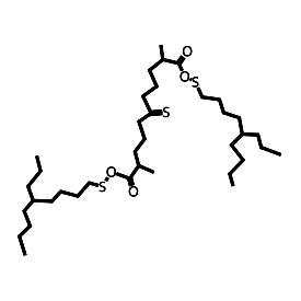 CCCCC(CCC)CCCCSOC(=O)C(C)CCCC(=S)CCCC(C)C(=O)OSCCCCC(CCC)CCCC